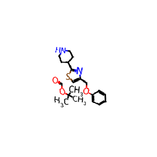 CC(C)(C)OC=O.c1ccc(OCc2csc(C3CCNCC3)n2)cc1